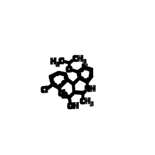 CC1=C(C(=O)O)C(c2cccc(Cl)c2Cl)c2c(ccnc2OC(C)C)N1